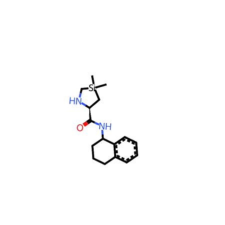 C[Si]1(C)CN[C@H](C(=O)NC2CCCc3ccccc32)C1